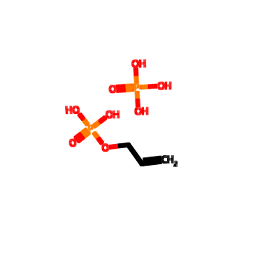 C=CCOP(=O)(O)O.O=P(O)(O)O